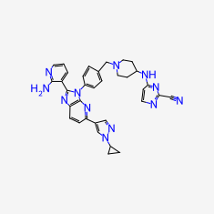 N#Cc1nccc(NC2CCN(Cc3ccc(-n4c(-c5cccnc5N)nc5ccc(-c6cnn(C7CC7)c6)nc54)cc3)CC2)n1